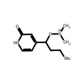 C[SiH](C)OC(CCC(C)(C)C)c1cc[nH]c(=O)c1